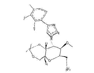 CO[C@@H]1[C@@H](n2cc(-c3ccc(C)c(F)c3F)nn2)[C@H]2OC(C)(C)OC[C@H]2O[C@@H]1CN